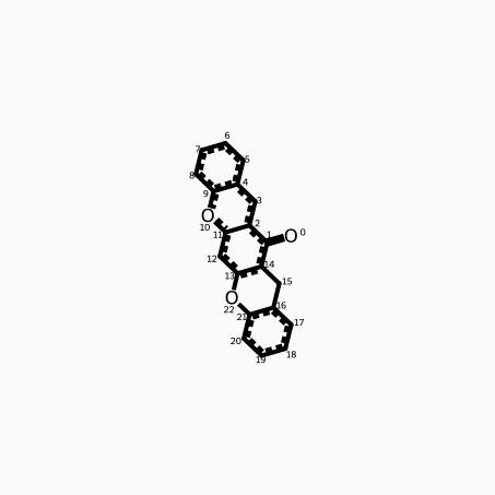 O=c1c2cc3ccccc3oc-2cc2c1Cc1ccccc1O2